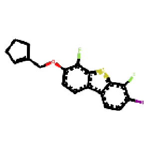 Fc1c(I)ccc2c1sc1c(F)c(OCC3=CCCC3)ccc12